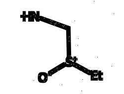 CC[S+]([O-])C[NH]